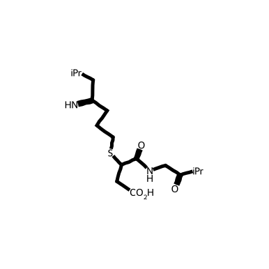 CC(C)CC(=N)CCCSC(CC(=O)O)C(=O)NCC(=O)C(C)C